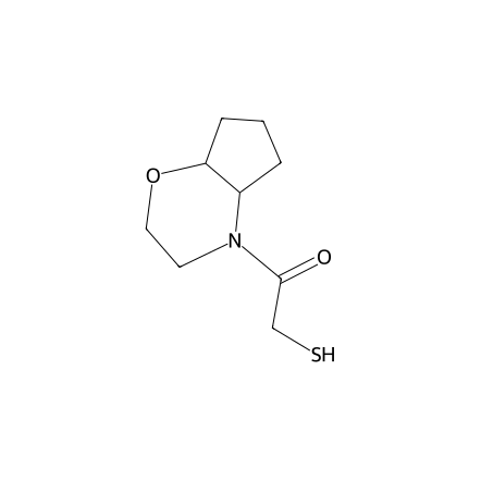 O=C(CS)N1CCOC2CCCC21